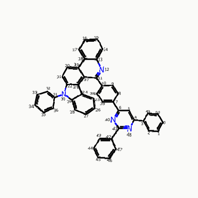 c1ccc(-c2cc(-c3ccc(-c4nc5ccccc5c5ccc6c(c7ccccc7n6-c6ccccc6)c45)cc3)nc(-c3ccccc3)n2)cc1